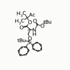 CC(=O)C(C)(C)OC(=O)[C@H](CO[Si](c1ccccc1)(c1ccccc1)C(C)(C)C)NC(=O)OC(C)(C)C